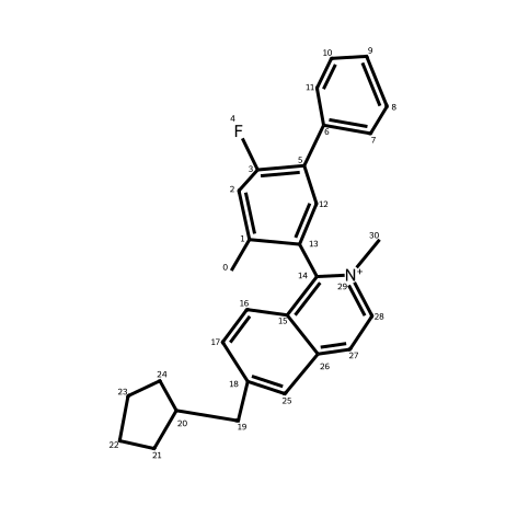 Cc1cc(F)c(-c2ccccc2)cc1-c1c2ccc(CC3CCCC3)cc2cc[n+]1C